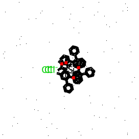 CC1=C(C)C(C)([Si](c2cc(C)cc(-c3ccccc3)c2-c2ccccc2)(c2cc(C)cc(-c3ccccc3)c2-c2ccccc2)c2cc(C)cc(-c3ccccc3)c2-c2ccccc2)[C]([Ti+3])=C1C.[Cl-].[Cl-].[Cl-]